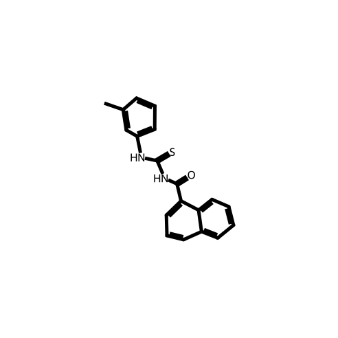 Cc1cccc(NC(=S)NC(=O)c2cccc3ccccc23)c1